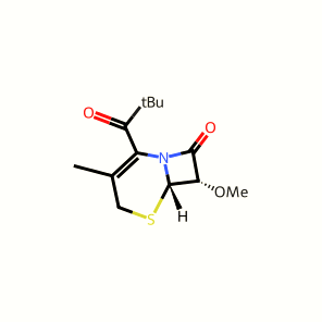 CO[C@H]1C(=O)N2C(C(=O)C(C)(C)C)=C(C)CS[C@@H]12